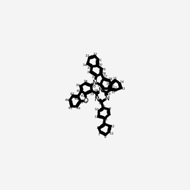 c1ccc(-c2ccc(-c3nc(-c4ccccc4)nc(-c4c(-n5c6ccccc6c6cc7ccccc7cc65)ccc5c4oc4ccccc45)n3)cc2)cc1